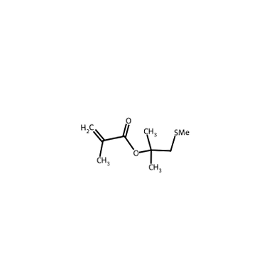 C=C(C)C(=O)OC(C)(C)CSC